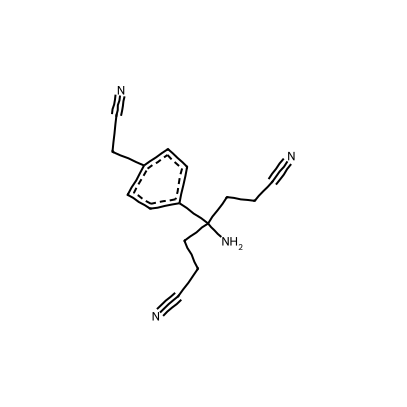 N#CCCC(N)(CCC#N)c1ccc(CC#N)cc1